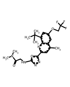 Cc1cc(-c2nnc(NCC(=O)N(C)C)o2)nc2c(C(C)(C)C)cc(OCC(F)(F)F)cc12